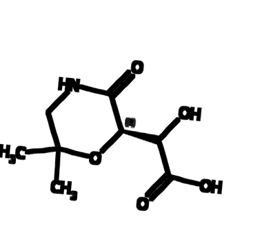 CC1(C)CNC(=O)[C@@H](C(O)C(=O)O)O1